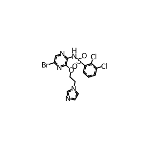 O=S(=O)(Nc1ncc(Br)nc1OCCn1ccnc1)c1cccc(Cl)c1Cl